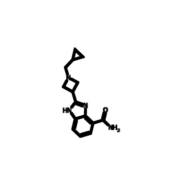 NC(=O)c1cccc2[nH]c(C3CN(CC4CC4)C3)nc12